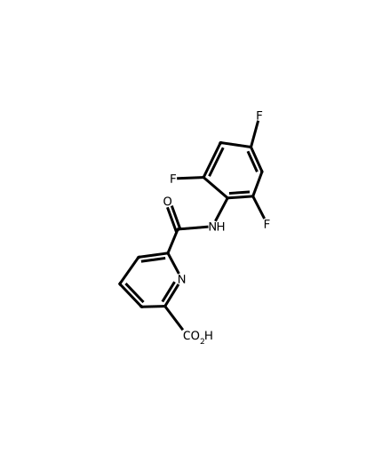 O=C(O)c1cccc(C(=O)Nc2c(F)cc(F)cc2F)n1